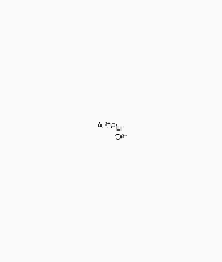 [Al+3].[Li+].[O-2].[O-2]